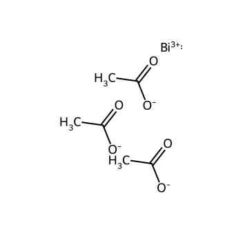 CC(=O)[O-].CC(=O)[O-].CC(=O)[O-].[Bi+3]